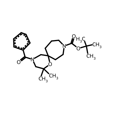 CC(C)(C)OC(=O)N1CCCC2(CC1)CN(C(=O)c1ccccc1)CC(C)(C)O2